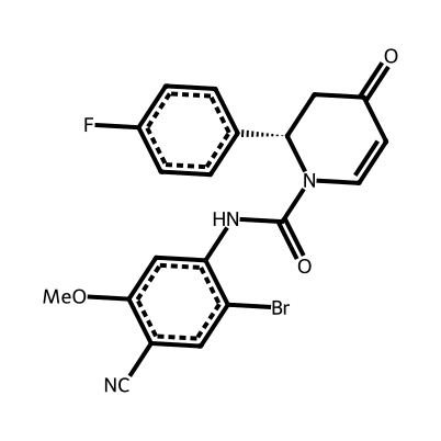 COc1cc(NC(=O)N2C=CC(=O)C[C@H]2c2ccc(F)cc2)c(Br)cc1C#N